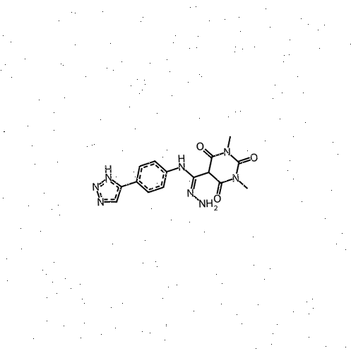 CN1C(=O)C(/C(=N\N)Nc2ccc(-c3cnn[nH]3)cc2)C(=O)N(C)C1=O